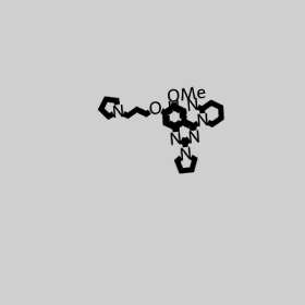 COc1cc2c(N3CCCCC3N)nc(N3CCCC3)nc2cc1OCCCN1CCCC1